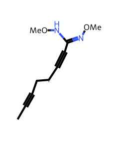 CC#CC[CH]C#CC(=NOC)NOC